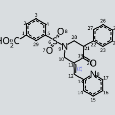 O=C(O)c1cccc(S(=O)(=O)N2C/C(=C/c3ccccn3)C(=O)C(c3ccccc3)C2)c1